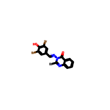 CCc1nc2ccccc2c(=O)n1/N=C/c1cc(Br)c(O)c(Br)c1